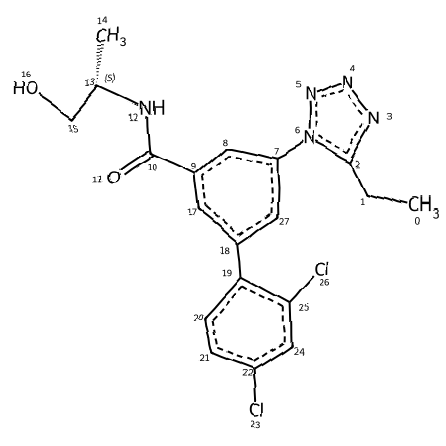 CCc1nnnn1-c1cc(C(=O)N[C@@H](C)CO)cc(-c2ccc(Cl)cc2Cl)c1